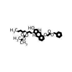 CCCCC[C@@H](CC[C@@H]1[C@H]2Cc3cccc(OCC(=O)OCc4ccccc4)c3C[C@H]2C[C@H]1O)OC(=O)OC(C)C